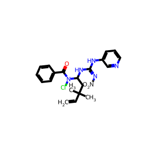 C=CC(C)(C)CC(NC(=N[N+](=O)[O-])Nc1cccnc1)N(Cl)C(=O)c1ccccc1